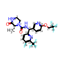 C[C@@H]1C(=O)NCCN1C(=O)N[C@@H](c1ccc(OCC(F)(F)F)nc1)c1ccc(F)c(C(F)(F)F)n1